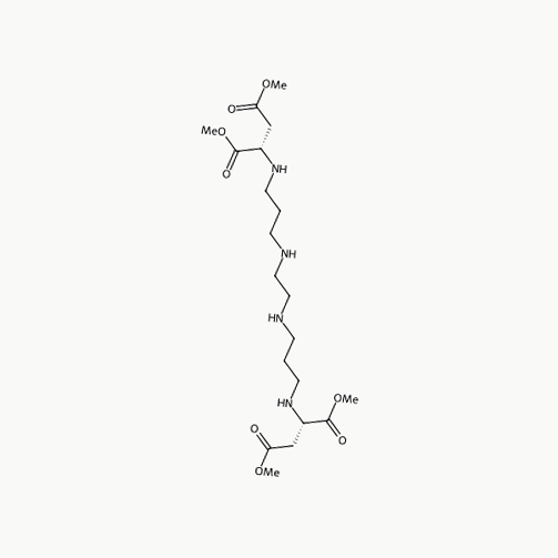 COC(=O)C[C@H](NCCCNCCNCCCN[C@@H](CC(=O)OC)C(=O)OC)C(=O)OC